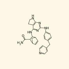 NC(=O)C1C2C=CC(C2)C1Nc1nc(Nc2ccc(Cc3ccncc3)cc2)nc2c1CCN2